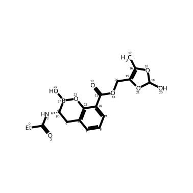 CCC(=O)N[C@H]1Cc2cccc(C(=O)OCC3=C(C)OC(O)O3)c2OB1O